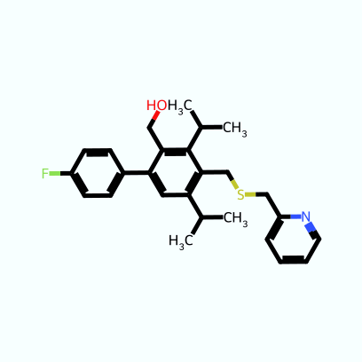 CC(C)c1cc(-c2ccc(F)cc2)c(CO)c(C(C)C)c1CSCc1ccccn1